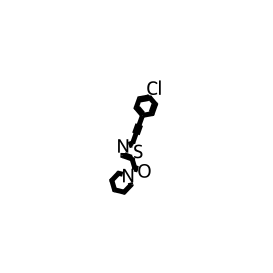 O=C(c1cnc(C#Cc2ccc(Cl)cc2)s1)N1CCCCC1